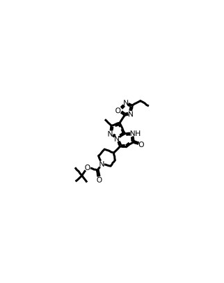 CCc1noc(-c2c(C)nn3c(C4CCN(C(=O)OC(C)(C)C)CC4)cc(=O)[nH]c23)n1